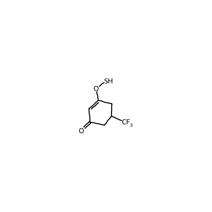 O=C1C=C(OS)CC(C(F)(F)F)C1